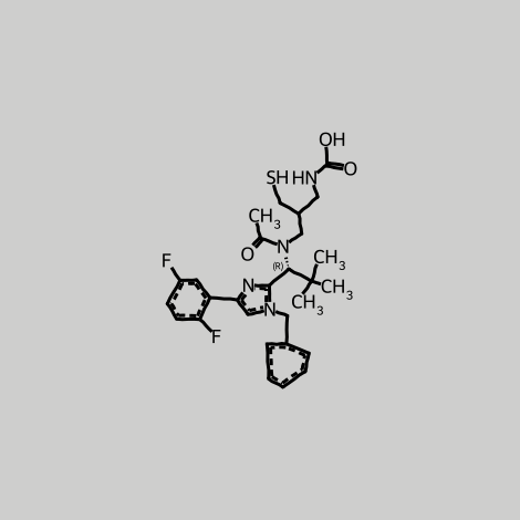 CC(=O)N(CC(CS)CNC(=O)O)[C@@H](c1nc(-c2cc(F)ccc2F)cn1Cc1ccccc1)C(C)(C)C